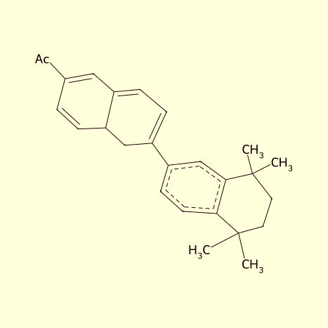 CC(=O)C1=CC2=CC=C(c3ccc4c(c3)C(C)(C)CCC4(C)C)CC2C=C1